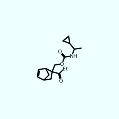 CCC(=O)C1(COC(=O)NC(C)C2CC2)CC2C=CC1C2